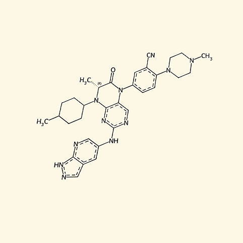 CC1CCC(N2c3nc(Nc4cnc5[nH]ncc5c4)ncc3N(c3ccc(N4CCN(C)CC4)c(C#N)c3)C(=O)[C@H]2C)CC1